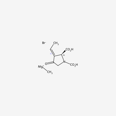 C/C=C1/C(=O)CN(C(=O)O)[C@@H]1C(=O)O.[Br-].[CH3][Mg+]